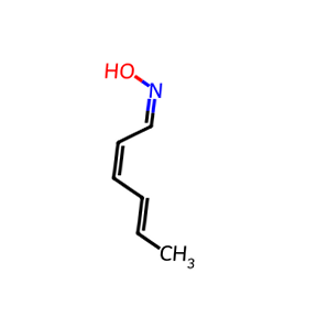 C/C=C/C=C\C=N/O